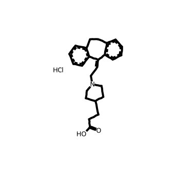 Cl.O=C(O)CCC1CCN(CC=C2c3ccccc3CCc3ccccc32)CC1